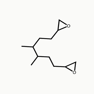 CC(CCC1CO1)C(C)CCC1CO1